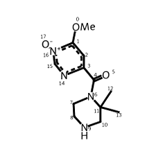 COc1cc(C(=O)N2CCNCC2(C)C)nc[n+]1[O-]